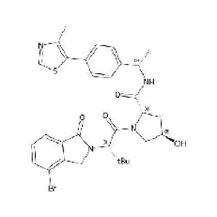 Cc1ncsc1-c1ccc([C@H](C)NC(=O)[C@@H]2C[C@@H](O)CN2C(=O)[C@@H](N2Cc3c(Br)cccc3C2=O)C(C)(C)C)cc1